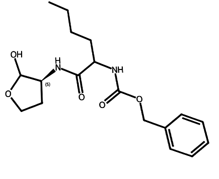 CCCCC(NC(=O)OCc1ccccc1)C(=O)N[C@H]1CCOC1O